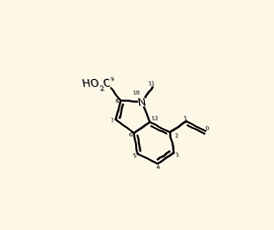 C=Cc1cccc2cc(C(=O)O)n(C)c12